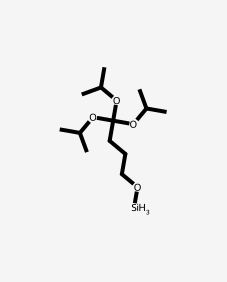 CC(C)OC(CCCO[SiH3])(OC(C)C)OC(C)C